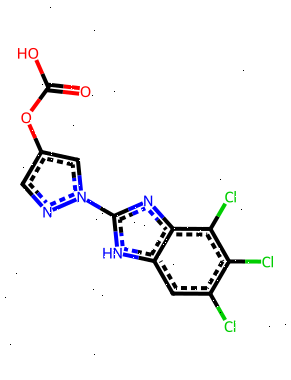 O=C(O)Oc1cnn(-c2nc3c(Cl)c(Cl)c(Cl)cc3[nH]2)c1